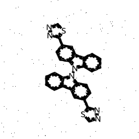 c1ccc2c(c1)c1cc(-c3nncs3)ccc1n2-n1c2ccccc2c2cc(-c3nncs3)ccc21